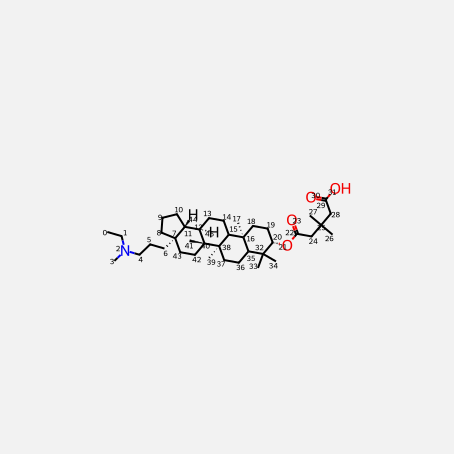 CCN(C)CCC[C@]12CCC[C@@H]1[C@H]1CCC3[C@@]4(C)CC[C@H](OC(=O)CC(C)(C)CC(=O)O)C(C)(C)C4CC[C@@]3(C)[C@]1(C)CC2